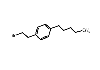 CCCCCc1ccc(CCBr)cc1